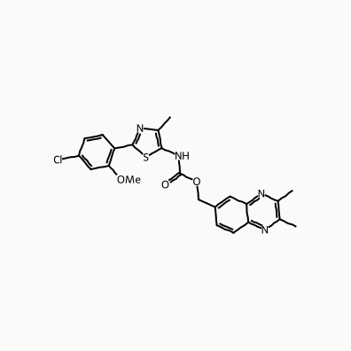 COc1cc(Cl)ccc1-c1nc(C)c(NC(=O)OCc2ccc3nc(C)c(C)nc3c2)s1